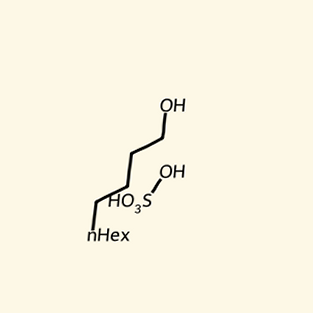 CCCCCCCCCCO.O=S(=O)(O)O